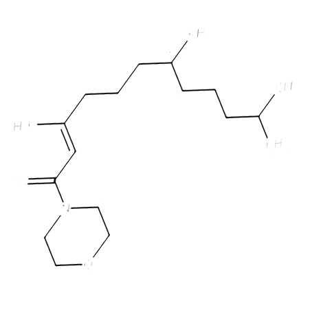 C/C(=C\C(=O)N1CCOCC1)CCCC(C)CCCC(C)C